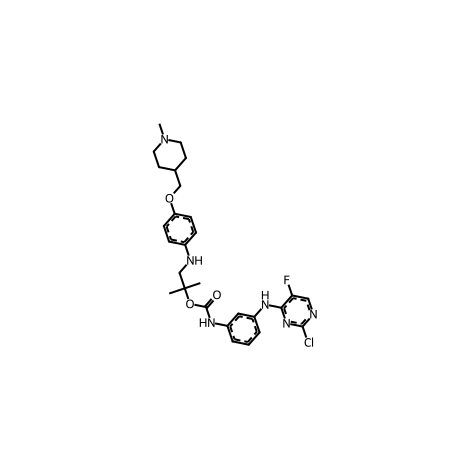 CN1CCC(COc2ccc(NCC(C)(C)OC(=O)Nc3cccc(Nc4nc(Cl)ncc4F)c3)cc2)CC1